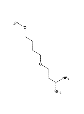 CCCOCCCCOCCC(N)N